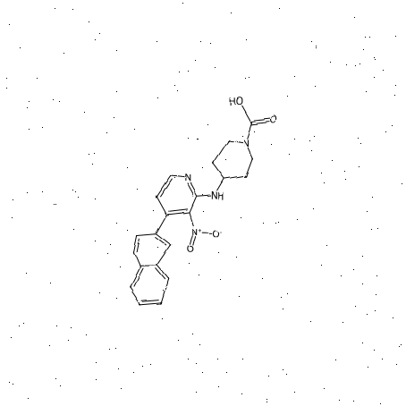 O=C(O)N1CCC(Nc2nccc(-c3ccc4ccccc4c3)c2[N+](=O)[O-])CC1